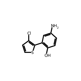 Nc1ccc(O)c(-c2sccc2Cl)c1